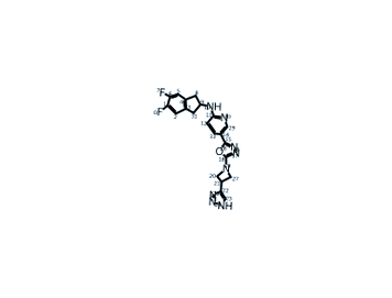 Fc1cc2c(cc1F)CC(Nc1ccc(-c3nnc(N4CC(c5c[nH]nn5)C4)o3)cn1)C2